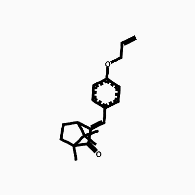 C=CCOc1ccc(C=C2C(=O)C3(C)CCC2C3(C)C)cc1